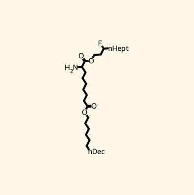 CCCCCCCCCCCCCCCCOC(=O)CCCCCCC(N)C(=O)OCCC(F)CCCCCCC